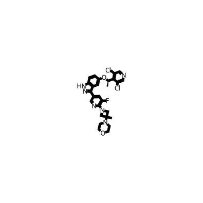 C[C@@H](Oc1ccc2[nH]nc(-c3cnc(N4CC(C)(N5CCOCC5)C4)c(F)c3)c2c1)c1c(Cl)cncc1Cl